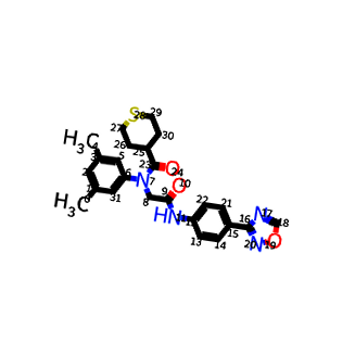 Cc1cc(C)cc(N(CC(=O)Nc2ccc(-c3ncon3)cc2)C(=O)C2CCSCC2)c1